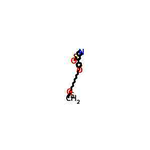 C=CC(=S)OCCCCCCCCCCOc1ccc(-c2cc3cnccc3sc2=O)cc1